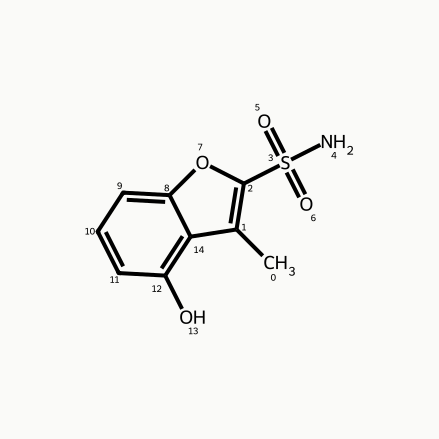 Cc1c(S(N)(=O)=O)oc2cccc(O)c12